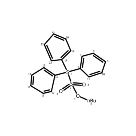 CCCCOS(=O)(=O)S(c1ccccc1)(c1ccccc1)c1ccccc1